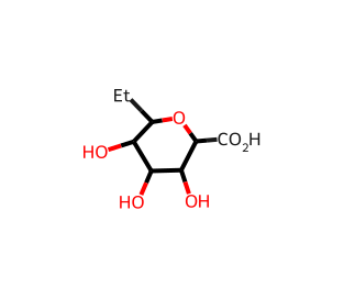 CCC1OC(C(=O)O)C(O)C(O)C1O